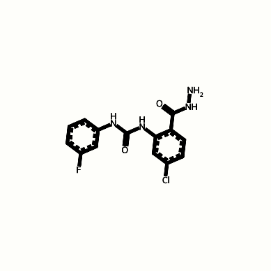 NNC(=O)c1ccc(Cl)cc1NC(=O)Nc1cccc(F)c1